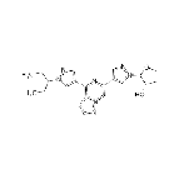 CCC(CC)n1cc(-c2nc(-c3cnn([C@H]4OCC[C@@H]4O)c3)cn3nccc23)cn1